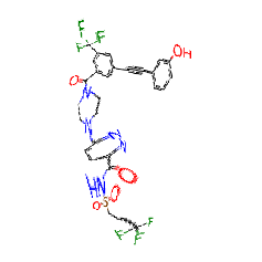 O=C(NS(=O)(=O)CCC(F)(F)F)c1ccc(N2CCN(C(=O)c3cc(C#Cc4cccc(O)c4)cc(C(F)(F)F)c3)CC2)nn1